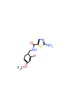 Nc1ncc(C(=O)NCC2CC=C(OC(F)(F)F)C=C2I)s1